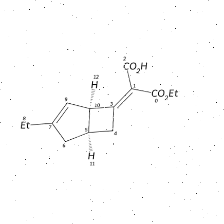 CCOC(=O)C(C(=O)O)=C1C[C@H]2CC(CC)=C[C@@H]12